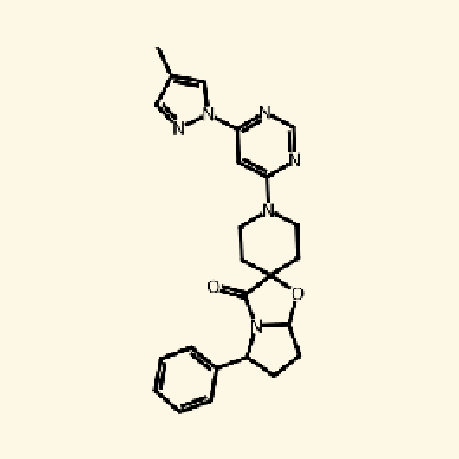 Cc1cnn(-c2cc(N3CCC4(CC3)OC3CCC(c5ccccc5)N3C4=O)ncn2)c1